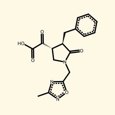 Cc1noc(CN2C[C@H](C(=O)C(=O)O)[C@@H](Cc3ccccc3)C2=O)n1